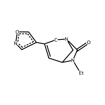 CCN1C(=O)N2CC(c3cnoc3)=CC1C2